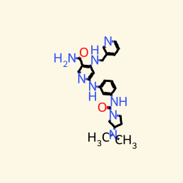 CN(C)C1CCN(C(=O)Nc2cccc(Nc3cc(NCc4cccnc4)c(C(N)=O)cn3)c2)C1